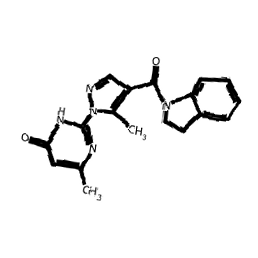 Cc1cc(=O)[nH]c(-n2ncc(C(=O)N3CCc4ccccc43)c2C)n1